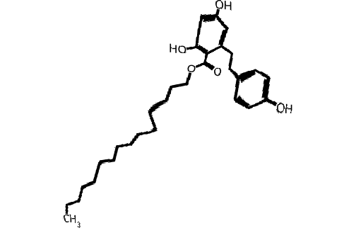 CCCCCCCCCCCCCCCOC(=O)c1c(O)cc(O)cc1CCc1ccc(O)cc1